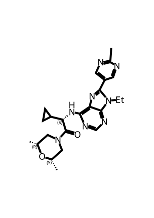 CCn1c(-c2cnc(C)nc2)nc2c(N[C@H](C(=O)N3C[C@@H](C)O[C@@H](C)C3)C3CC3)ncnc21